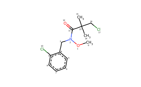 CON(Cc1ccccc1Cl)C(=O)C(C)(C)CCl